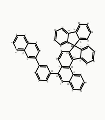 c1cc(-c2ccc3cccnc3c2)cc(-c2nc3ccccc3c3c4c(ccc23)C2(c3ccccc3-c3ccccc32)c2ccccc2-4)c1